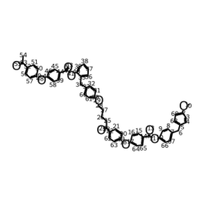 COc1ccc(Cc2ccc(OC(=O)c3ccc(Oc4ccc(C(=O)CCCCOc5ccc(Cc6ccccc6OC(=O)c6ccc(Oc7ccc(C(C)=O)cc7)cc6)cc5)cc4)cc3)cc2)cc1